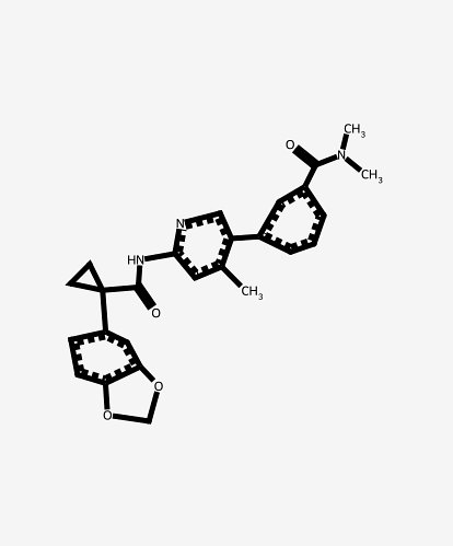 Cc1cc(NC(=O)C2(c3ccc4c(c3)OCO4)CC2)ncc1-c1cccc(C(=O)N(C)C)c1